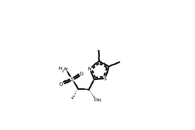 Cc1nc([C@H](O)[C@H](C)S(N)(=O)=O)sc1C